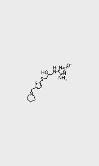 Nc1n[s+]([O-])nc1NCC(O)CSc1ccc(CN2CCCCC2)s1